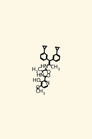 COc1ccnc(C(=O)N[C@@H](C)C(=O)NC(C)=C(c2cccc(C3CC3)c2)c2cccc(C3CC3)c2)c1O